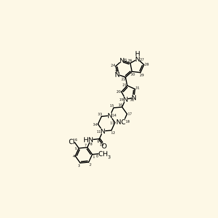 Cc1cccc(Cl)c1NC(=O)N1CCN(CC(CC#N)n2cc(-c3ncnc4[nH]ccc34)cn2)CC1